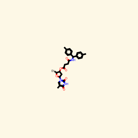 CCC1OC(n2cc(C)c(=O)[nH]c2=O)CC1OC(=O)CCC(=O)NC(c1ccc(C)cc1)c1ccc(C)cc1